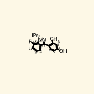 Cc1cc(O)ccc1-c1nn(C(C)C)c2c(F)cccc12